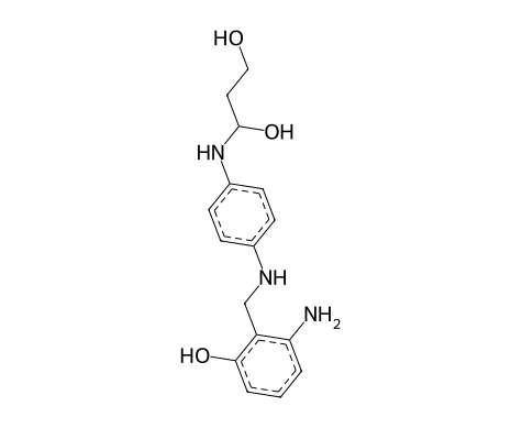 Nc1cccc(O)c1CNc1ccc(NC(O)CCO)cc1